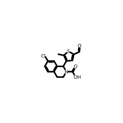 Cc1sc(C=O)cc1C1c2cc(Cl)ccc2CCN1C(=O)O